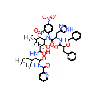 CC[C@H](C)[C@H](NC(=O)C[C@H](O)C(CC(C)C)N(C(=O)C(Cc1c[nH]cn1)NC(=O)C(Cc1ccccc1)OCc1ccccc1)c1ccc([N+](=O)[O-])cc1[N+](=O)[O-])C(=O)NC(=O)c1ccccn1